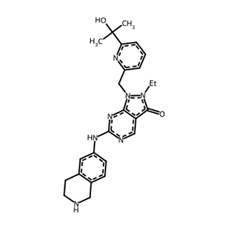 CCn1c(=O)c2cnc(Nc3ccc4c(c3)CCNC4)nc2n1Cc1cccc(C(C)(C)O)n1